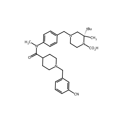 CN(C(=O)C1CCN(Cc2cccc(C#N)c2)CC1)c1ccc(CN2CCN(C(=O)O)[C@@](C)(C(C)(C)C)C2)cc1